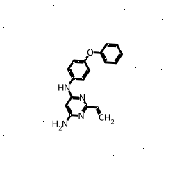 C=Cc1nc(N)cc(Nc2ccc(Oc3ccccc3)cc2)n1